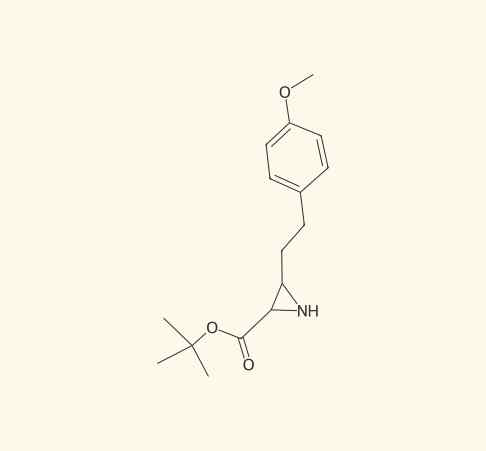 COc1ccc(CCC2NC2C(=O)OC(C)(C)C)cc1